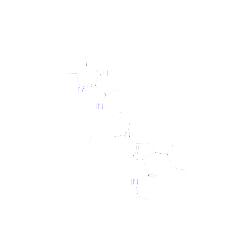 CCOC(=O)c1sc(N2CC[C@@H](NC(=O)c3nc(Cl)c(CC)[nH]3)[C@@H](OCC)C2)nc1C(=O)NC(C)C